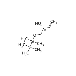 C=C[C@@H](O)CO[Si](C)(C)C(C)(C)C